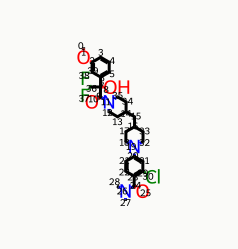 COc1cccc(C(O)(C(=O)N2CCC(CC3CCN(c4ccc(C(=O)N(C)C)c(Cl)c4)CC3)CC2)C(F)F)c1